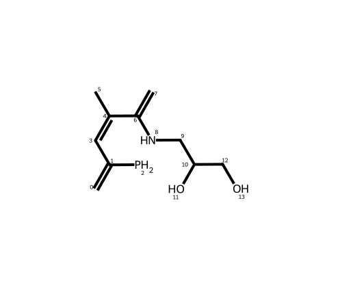 C=C(P)/C=C(/C)C(=C)NCC(O)CO